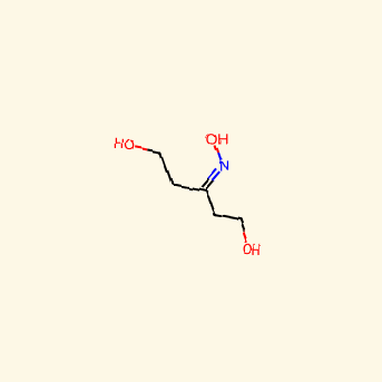 OCCC(CCO)=NO